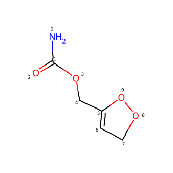 NC(=O)OCC1=CCOO1